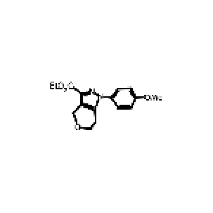 CCOC(=O)c1nn(-c2ccc(OC)cc2)c2c1COCC2